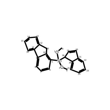 CO[Si](OC)(c1cccc2c1Cc1ccccc1-2)C1C=Cc2ccccc21